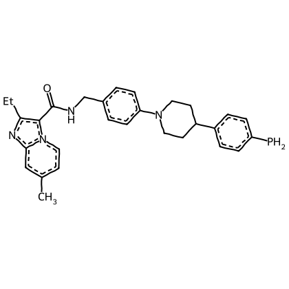 CCc1nc2cc(C)ccn2c1C(=O)NCc1ccc(N2CCC(c3ccc(P)cc3)CC2)cc1